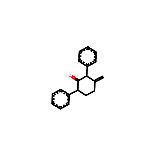 C=C1CCC(c2ccccc2)C(=O)C1c1ccccc1